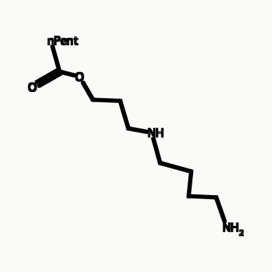 CCCCCC(=O)OCCCNCCCCN